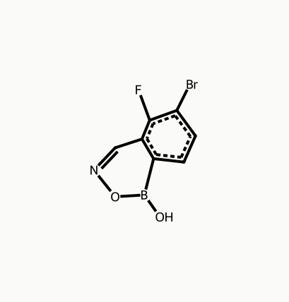 OB1ON=Cc2c1ccc(Br)c2F